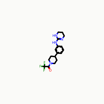 O=C(N1CCC(c2cccc(NC3=NCCCN3)c2)CC1)C(F)(F)F